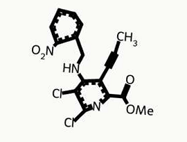 CC#Cc1c(C(=O)OC)nc(Cl)c(Cl)c1NCc1ccccc1[N+](=O)[O-]